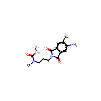 CN(CCCN1C(=O)c2cc(N)c([N+](=O)[O-])cc2C1=O)C(=O)OC(C)(C)C